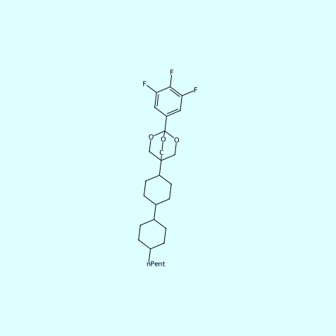 CCCCCC1CCC(C2CCC(C34COC(c5cc(F)c(F)c(F)c5)(OC3)OC4)CC2)CC1